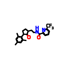 Cc1cc(C)c(C2CCC(CCNC(=O)c3cccc(C(F)(F)F)n3)C2=O)c(C)c1